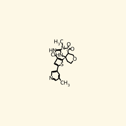 Cc1cncc(-c2cc(Cl)c([C@]34CCOCC3S(=O)(=O)N(C)C(=N)N4)s2)c1